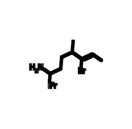 CC=C(Br)C(C)CCC(N)C(C)C